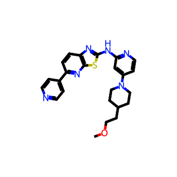 COCCC1CCN(c2ccnc(Nc3nc4ccc(-c5ccncc5)nc4s3)c2)CC1